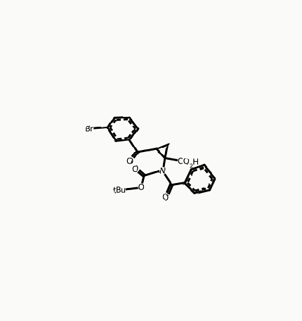 CC(C)(C)OC(=O)N(C(=O)c1ccccc1)C1(C(=O)O)CC1C(=O)c1cccc(Br)c1